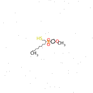 CCCCCCCCCC(CCS)S(=O)(=O)c1ccc(OC)cc1